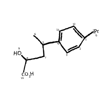 CC(C)c1ccc(C(C)CC(O)C(=O)O)cc1